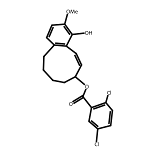 COc1ccc2c(c1O)/C=C\C(OC(=O)c1cc(Cl)ccc1Cl)CCCC2